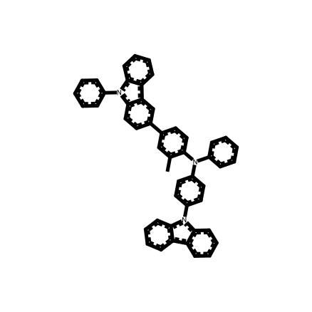 Cc1cc(-c2ccc3c(c2)c2ccccc2n3-c2ccccc2)ccc1N(c1ccccc1)c1ccc(-n2c3ccccc3c3ccccc32)cc1